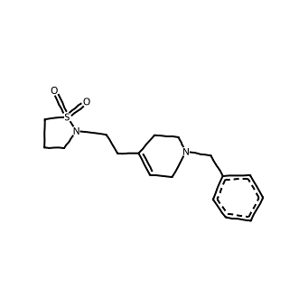 O=S1(=O)CCCN1CCC1=CCN(Cc2ccccc2)CC1